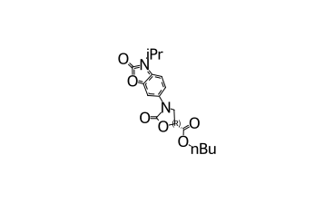 CCCCOC(=O)[C@H]1CN(c2ccc3c(c2)oc(=O)n3C(C)C)C(=O)O1